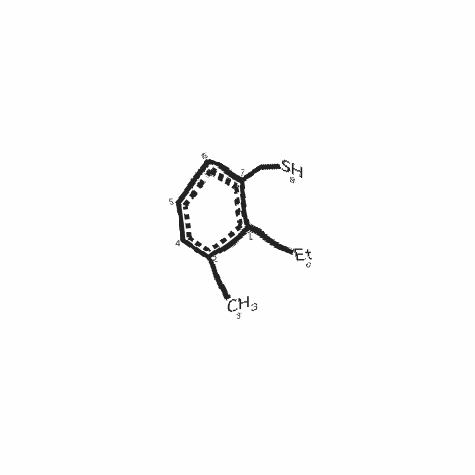 CCc1c(C)cccc1S